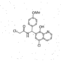 COc1ccc(C(NC(=O)CCl)c2cc(Cl)c3cccnc3c2O)cc1